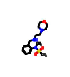 CN(c1ccccc1CNCCN1CCOCC1)S(C)(=O)=O